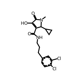 CN1C(=O)C(O)=C(C(=O)NCCCc2ccc(Cl)c(Cl)c2)C1C1CC1